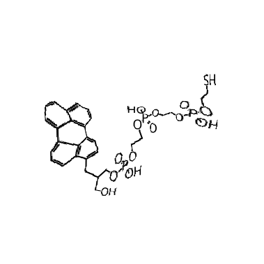 O=P(O)(OCCS)OCCOP(=O)(O)OCCOP(=O)(O)OCC(CO)Cc1ccc2c3cccc4cccc(c5cccc1c52)c43